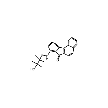 CC(C)(O)C(C)(C)OBc1cccc2c1C(=O)c1ccc3ccccc3c1-2